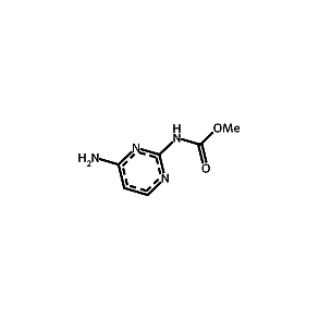 COC(=O)Nc1nccc(N)n1